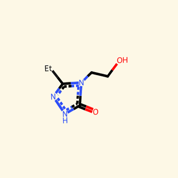 CCc1n[nH]c(=O)n1CCO